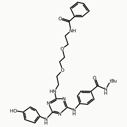 CC(C)(C)NC(=O)c1ccc(Nc2nc(NCCOCCOCCNC(=O)c3ccccc3)nc(Nc3ccc(O)cc3)n2)cc1